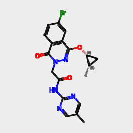 Cc1cnc(NC(=O)Cn2nc(O[C@@H]3C[C@@H]3C)c3cc(Br)ccc3c2=O)nc1